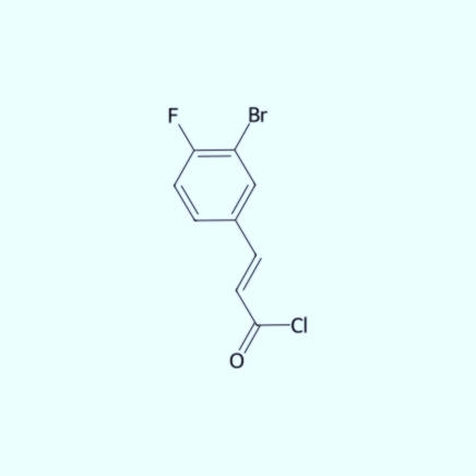 O=C(Cl)C=Cc1ccc(F)c(Br)c1